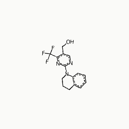 OCc1cnc(N2CCCc3ccccc32)nc1C(F)(F)F